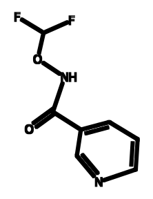 O=C(NOC(F)F)c1cccnc1